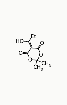 CCC(O)=C1C(=O)OC(C)(C)OC1=O